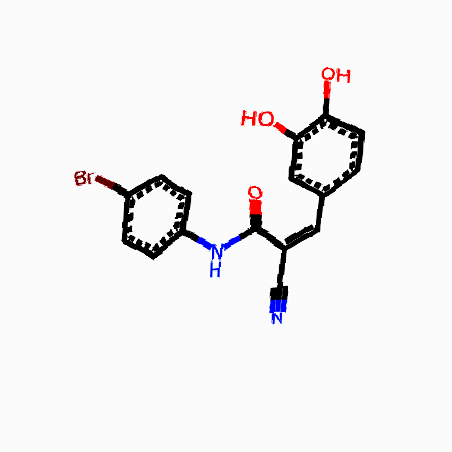 N#CC(=Cc1ccc(O)c(O)c1)C(=O)Nc1ccc(Br)cc1